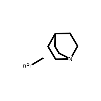 C1CN2CCC1CC2.CCCC